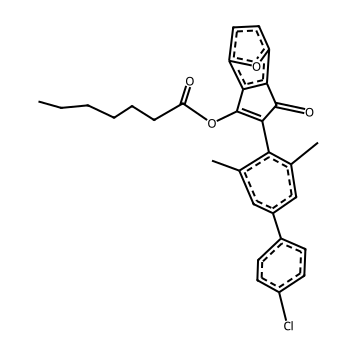 CCCCCCC(=O)OC1=C(c2c(C)cc(-c3ccc(Cl)cc3)cc2C)C(=O)c2c1c1ccc2o1